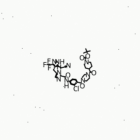 CC(C)(C)OC(=O)N1CCC(C(=O)N2CCN(C(=O)c3ccc(NC(=O)c4ncc(Cc5c(C(F)(F)F)n[nH]c5CC#N)[nH]4)cc3Cl)CC2)CC1